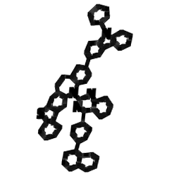 C1=Cc2cc3sc4ccccc4c3cc2N(c2nc(-c3ccc(-c4cccc5ccccc45)cc3)c3ccccc3n2)c2ccc(-c3ccc4c(c3)c3ccccc3n4-c3ccccc3)cc21